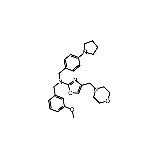 COc1cccc(CN(Cc2ccc(N3CCCC3)cc2)c2nc(CN3CCOCC3)co2)c1